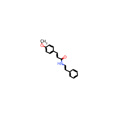 COc1ccc(C=CC(=O)NC=Cc2ccccc2)cc1